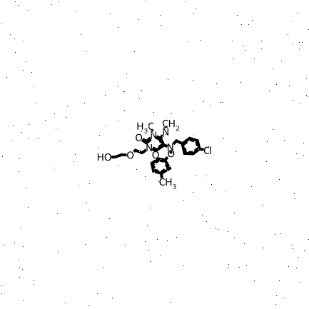 C=Nc1c(N(Cc2ccc(Cl)cc2)Oc2cccc(C)c2)c(=O)n(CCOCCO)c(=O)n1C